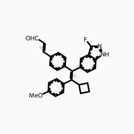 COc1ccc(/C(=C(\c2ccc(/C=C/[C]=O)cc2)c2ccc3[nH]nc(F)c3c2)C2CCC2)cc1